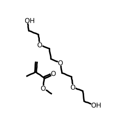 C=C(C)C(=O)OC.OCCOCCOCCOCCO